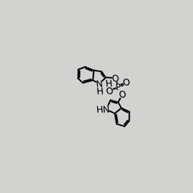 O=P(O)(Oc1cc2ccccc2[nH]1)Oc1c[nH]c2ccccc12